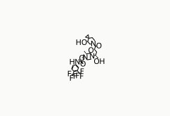 C[C@H]1C(=O)N([C@H](CO)CCC(=O)N2CCC3(CC3)[C@H](O)C2)CCN1OC(=O)Nc1ccc(C(F)(F)F)c(C(F)(F)F)c1